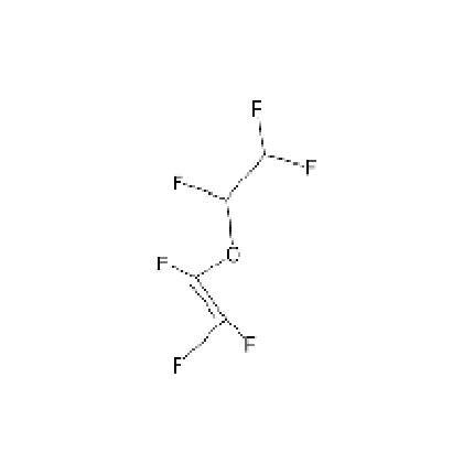 FC(F)=C(F)OC(F)C(F)F